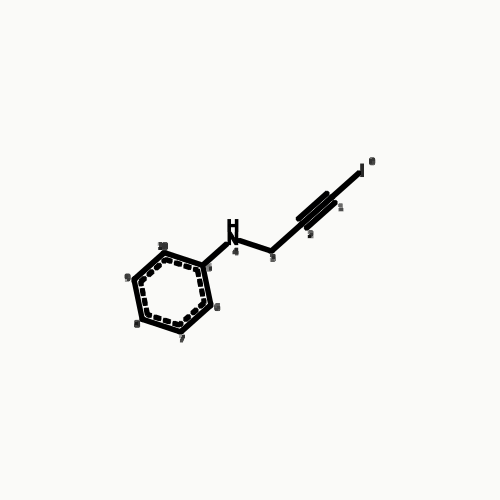 IC#CCNc1ccccc1